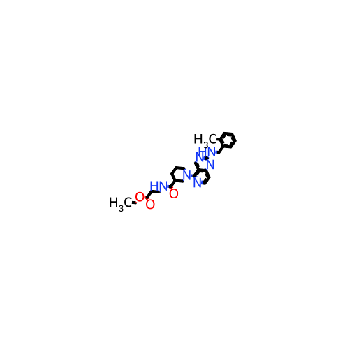 CCOC(=O)CCNC(=O)C1CCCN(c2nccc3nc(NCc4ccccc4C)ncc23)C1